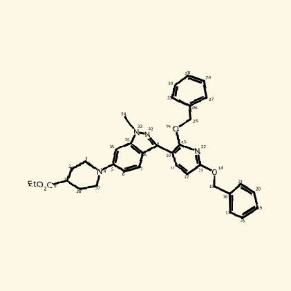 CCOC(=O)C1CCN(c2ccc3c(-c4ccc(OCc5ccccc5)nc4OCc4ccccc4)nn(C)c3c2)CC1